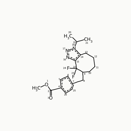 COC(=O)c1ccc(CC2CCCCc3c(nnn3C(C)C)C2(F)F)cc1